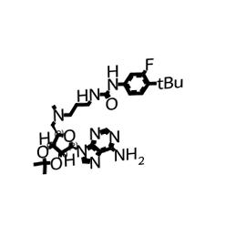 CN(CCCNC(=O)Nc1ccc(C(C)(C)C)c(F)c1)C[C@H]1O[C@@H](n2cnc3c(N)ncnc32)[C@@H]2OC(C)(C)O[C@@H]21